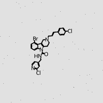 O=C(NCc1ccnc(Cl)c1)n1c2c(c3c(Br)cccc31)CN(C/C=C/c1ccc(Cl)cc1)CC2